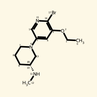 CCOc1cc(N2CCC[C@@H](NC)C2)cnc1Br